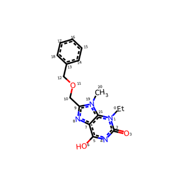 CCn1c(=O)nc(O)c2nc(COCc3ccccc3)n(C)c21